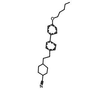 CCCCCOc1ccc(-c2ccc(CCC3CCC(C#N)CC3)cc2)cc1